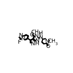 COc1nc(N[C@H]2CCC(=O)N(C)C2)nc2[nH]cc(-c3ccc4ncc(F)n4c3)c12